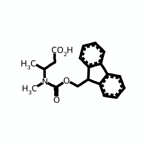 CC(CC(=O)O)N(C)C(=O)OCC1c2ccccc2-c2ccccc21